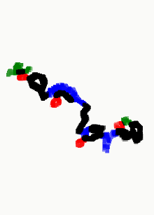 O=C(Cc1ccccc1F)Nc1ccn(CCCCn2cc(C(=O)NCc3cccc(OC(F)(F)F)c3)nn2)c(=O)c1